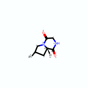 CC(C)C1C[C@H]2C(=O)NCC(=O)N2C1